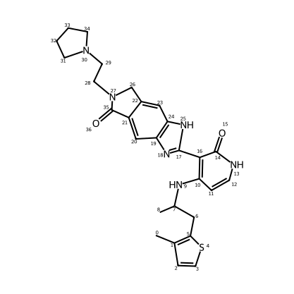 Cc1ccsc1CC(C)Nc1cc[nH]c(=O)c1-c1nc2cc3c(cc2[nH]1)CN(CCN1CCCC1)C3=O